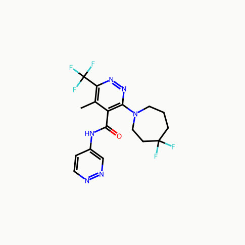 Cc1c(C(F)(F)F)nnc(N2CCCC(F)(F)CC2)c1C(=O)Nc1ccnnc1